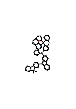 CC1(C)c2ccccc2-c2ccc(-n3c4ccccc4c4ccc(N(c5ccccc5)c5ccc6c(c5)C(c5ccccc5)(c5cccc7ccccc57)c5ccccc5O6)cc43)cc21